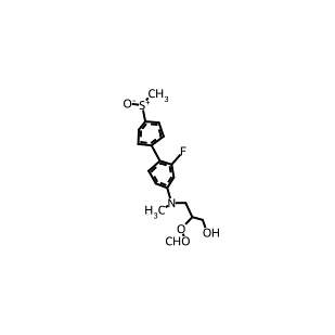 CN(CC(CO)OC=O)c1ccc(-c2ccc([S+](C)[O-])cc2)c(F)c1